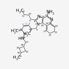 C=C(/C=C\C(=C)Cn1c(CCCC)nc2c(N)nc3c(c21)=CCCC=3)CNCC1CC(C)C1